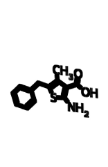 Cc1c(Cc2ccccc2)sc(N)c1C(=O)O